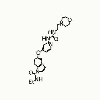 CCNC(=O)n1ccc2cc(Oc3ccnc(NC(=O)NCCN4CCOCC4)c3)ccc21